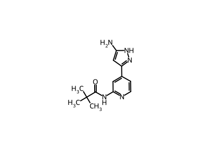 CC(C)(C)C(=O)Nc1cc(-c2cc(N)[nH]n2)ccn1